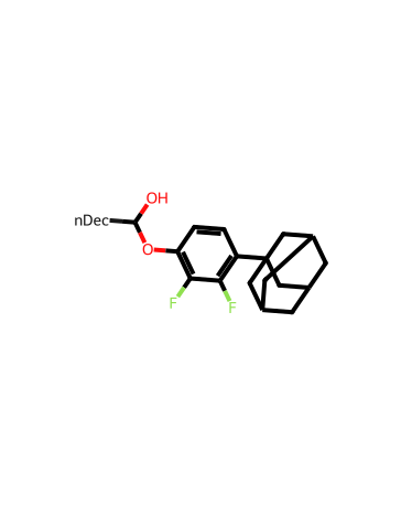 CCCCCCCCCCC(O)Oc1ccc(C23CC4CC(CC(C4)C2)C3)c(F)c1F